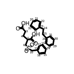 O=C(O)CCC(CS(=O)(=O)Cc1ccccc1)C(=O)O.c1ccc(CCc2ccccc2)cc1